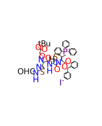 CC(C)(C)OC(=O)CO/N=C(\C(=O)NC1C(=O)N2C(C(=O)OC(c3ccccc3)c3ccccc3)=C(C[P+](c3ccccc3)(c3ccccc3)c3ccccc3)CS[C@H]12)c1csc(NC=O)n1.[I-]